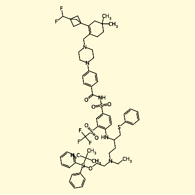 CCN(CCO[Si](c1ccccc1)(c1ccccc1)C(C)(C)C)CCC(CSc1ccccc1)Nc1ccc(S(=O)(=O)NC(=O)c2ccc(N3CCN(CC4=C(C56CC(C(F)F)(C5)C6)CC(C)(C)CC4)CC3)cc2)cc1S(=O)(=O)C(F)(F)F